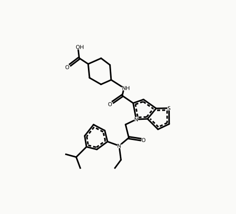 CCN(C(=O)Cn1c(C(=O)NC2CCC(C(=O)O)CC2)cc2sccc21)c1cccc(C(C)C)c1